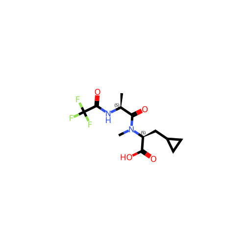 C[C@H](NC(=O)C(F)(F)F)C(=O)N(C)[C@@H](CC1CC1)C(=O)O